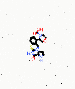 O=C(O)N1CCOC[C@H]1c1ccccc1Cn1c(=S)[nH]c(=O)c2[nH]ccc21